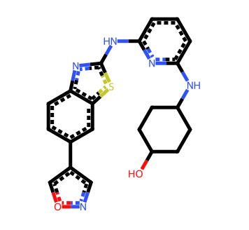 OC1CCC(Nc2cccc(Nc3nc4ccc(-c5cnoc5)cc4s3)n2)CC1